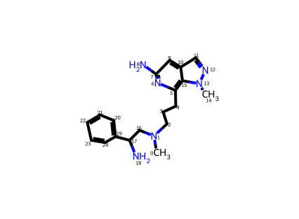 CN(CCCc1nc(N)cc2cnn(C)c12)CC(N)c1ccccc1